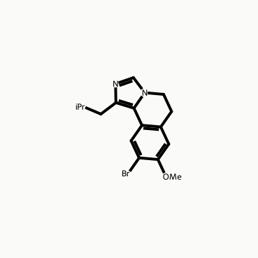 COc1cc2c(cc1Br)-c1c(CC(C)C)ncn1CC2